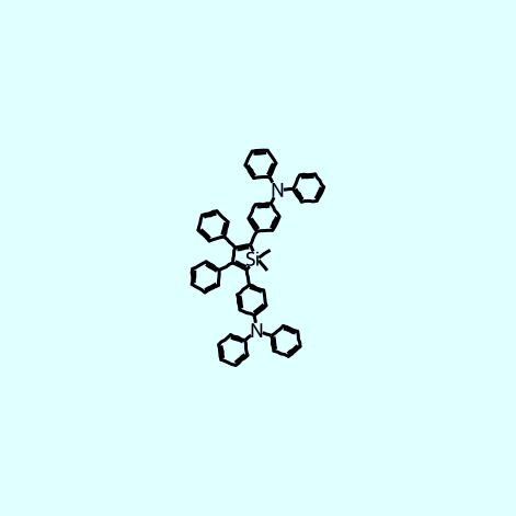 C[Si]1(C)C(c2ccc(N(c3ccccc3)c3ccccc3)cc2)=C(c2ccccc2)C(c2ccccc2)=C1c1ccc(N(c2ccccc2)c2ccccc2)cc1